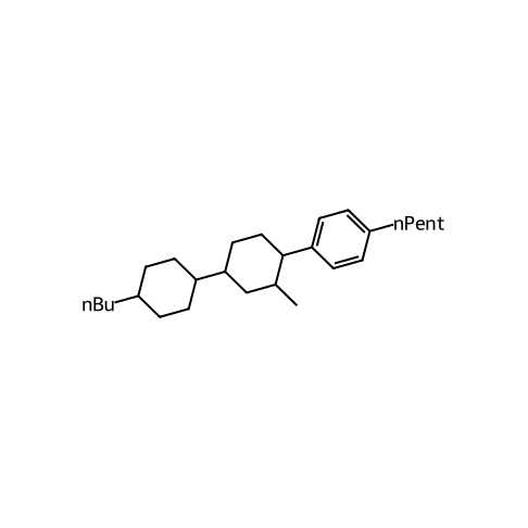 CCCCCc1ccc(C2CCC(C3CCC(CCCC)CC3)CC2C)cc1